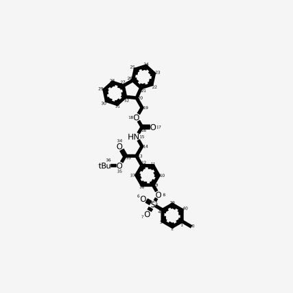 Cc1ccc(S(=O)(=O)Oc2ccc(C(CNC(=O)OCC3c4ccccc4-c4ccccc43)C(=O)OC(C)(C)C)cc2)cc1